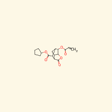 C=CC(=O)OC1C2CC3C1OC(=O)C3C2C(=O)OC1CCCC1